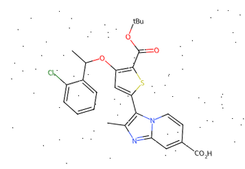 Cc1nc2cc(C(=O)O)ccn2c1-c1cc(OC(C)c2ccccc2Cl)c(C(=O)OC(C)(C)C)s1